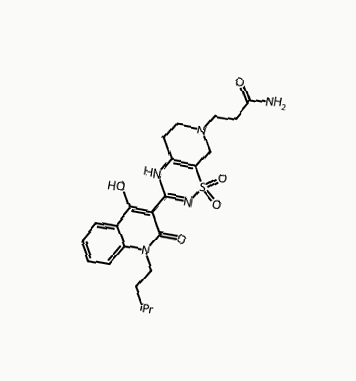 CC(C)CCn1c(=O)c(C2=NS(=O)(=O)C3=C(CCN(CCC(N)=O)C3)N2)c(O)c2ccccc21